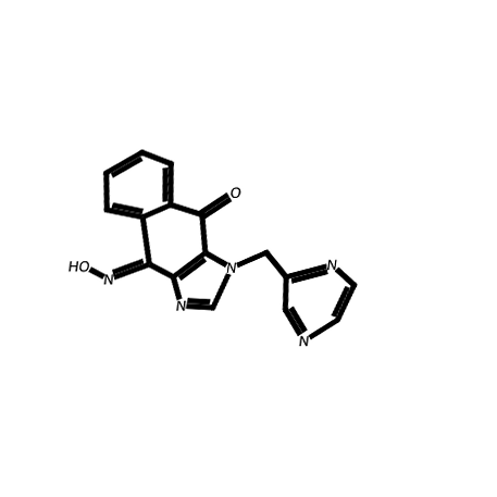 O=C1c2ccccc2C(=NO)c2ncn(Cc3cnccn3)c21